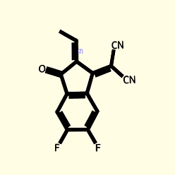 C/C=C1\C(=O)c2cc(F)c(F)cc2C1=C(C#N)C#N